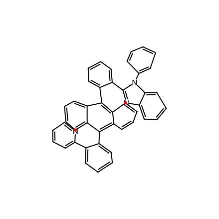 c1ccc(-n2c(-c3ccccc3-c3c4ccccc4c(-c4ccccc4-c4ccccn4)c4ccccc34)nc3ccccc32)cc1